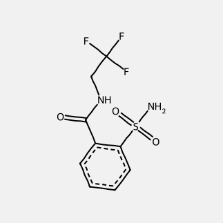 NS(=O)(=O)c1ccccc1C(=O)NCC(F)(F)F